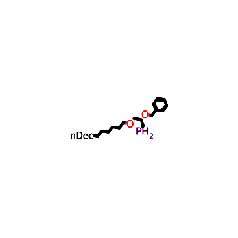 CCCCCCCCCCCCCCCCOCC(CP)OCc1ccccc1